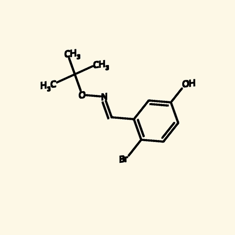 CC(C)(C)ON=Cc1cc(O)ccc1Br